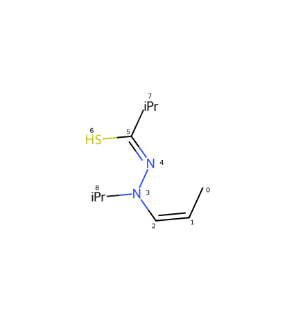 C/C=C\N(/N=C(\S)C(C)C)C(C)C